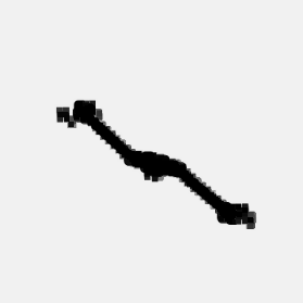 C=C(C)C(=O)OCCCCCCCCCCCCCCCCCOc1ccc(C(=O)Oc2c(F)c(F)c(OC(=O)c3ccc(OCCCCCCCCCCCCCCCCCOC(=O)C(=C)C)cc3)c(F)c2F)cc1